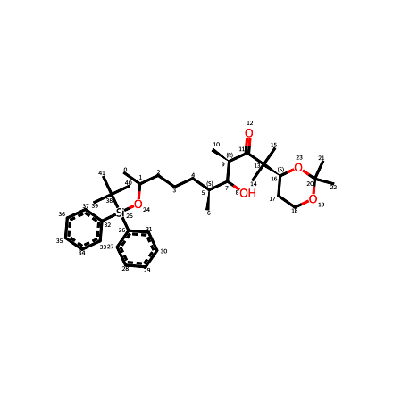 CC(CCC[C@H](C)C(O)[C@@H](C)C(=O)C(C)(C)[C@@H]1CCOC(C)(C)O1)O[Si](c1ccccc1)(c1ccccc1)C(C)(C)C